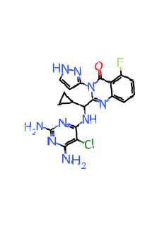 Nc1nc(N)c(Cl)c(NC(c2nc3cccc(F)c3c(=O)n2-c2cc[nH]n2)C2CC2)n1